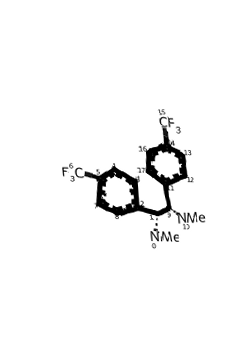 CN[C@H](c1ccc(C(F)(F)F)cc1)[C@@H](NC)c1ccc(C(F)(F)F)cc1